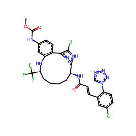 COC(=O)Nc1ccc2c(c1)N[C@H](C(F)(F)F)CCCC[C@H](NC(=O)/C=C/c1cc(Cl)ccc1-n1cnnn1)c1nc-2c(Cl)[nH]1